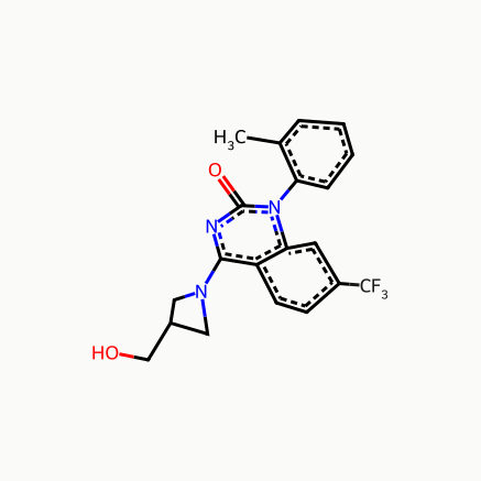 Cc1ccccc1-n1c(=O)nc(N2CC(CO)C2)c2ccc(C(F)(F)F)cc21